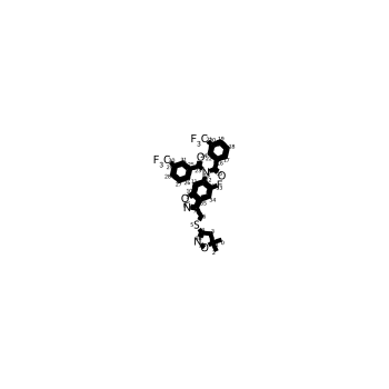 CC1(C)CC(SCc2noc3cc(N(C(=O)c4cccc(C(F)(F)F)c4)C(=O)c4cccc(C(F)(F)F)c4)c(F)cc23)=NO1